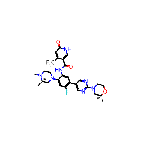 C[C@@H]1CN(c2ncc(-c3cc(NC(=O)c4c[nH]c(=O)cc4C(F)(F)F)c(N4CCN(C)[C@H](C)C4)cc3F)cn2)CCO1